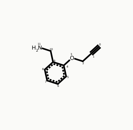 C#CCOc1ccccc1CN